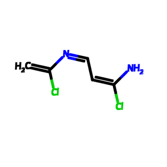 C=C(Cl)/N=C\C=C(/N)Cl